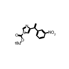 C=C(c1cccc([N+](=O)[O-])c1)c1cn(C(=O)OC(C)(C)C)cn1